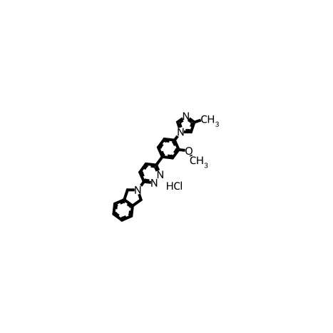 COc1cc(-c2ccc(N3Cc4ccccc4C3)nn2)ccc1-n1cnc(C)c1.Cl